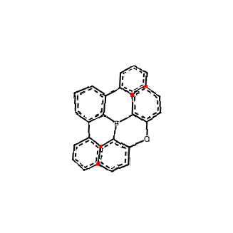 c1ccc(-c2cccc(-c3ccccc3)c2B2c3ccccc3Oc3ccccc32)cc1